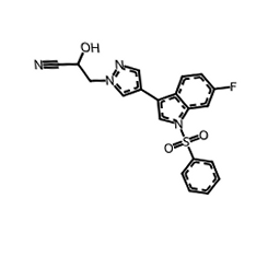 N#CC(O)Cn1cc(-c2cn(S(=O)(=O)c3ccccc3)c3cc(F)ccc23)cn1